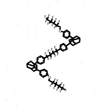 FC(F)(F)C(F)(F)C(F)(F)C(F)(F)COc1ccc(C23CC4CC(C2)CC(c2ccc(C(F)(F)C(F)(F)C(F)(F)C(F)(F)c5ccc(C67CC8CC(CC(c9ccc(OCC(F)(F)C(F)(F)C(F)(F)C(F)(F)F)cc9)(C8)C6)C7)cc5)cc2)(C4)C3)cc1